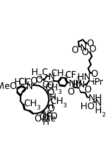 COc1cc2cc(c1Cl)N(C)C(=O)C[C@H](OC(=O)[C@H](C)N(C)C(=O)c1ccc(NC(=O)[C@H](CCCNC(N)O)NC(=O)[C@@H](NC(=O)CCCCC(=O)ON3C(=O)CCC3=O)C(C)C)c(C(F)(F)F)c1)[C@]1(C)O[C@H]1[C@H](C)[C@@H]1C[C@@](O)(NC(=O)O1)[C@H](OC)/C=C/C=C(\C)C2